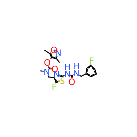 Cc1noc(C)c1OC(=O)N(C)Cc1nc(NC(=O)NCc2cccc(F)c2)sc1F